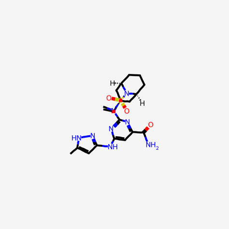 CCS(=O)(=O)N1[C@@H]2CCC[C@H]1C[C@@H](N(C)c1nc(Nc3cc(C)[nH]n3)cc(C(N)=O)n1)C2